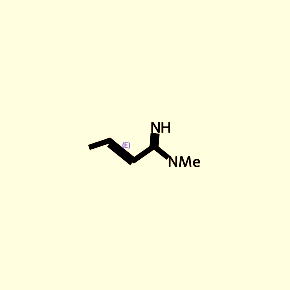 C/C=C/C(=N)NC